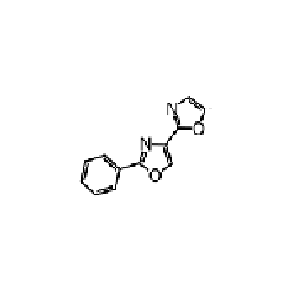 [c]1cnc(-c2coc(-c3ccccc3)n2)o1